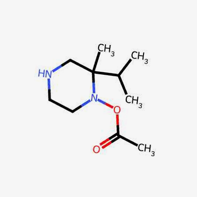 CC(=O)ON1CCNCC1(C)C(C)C